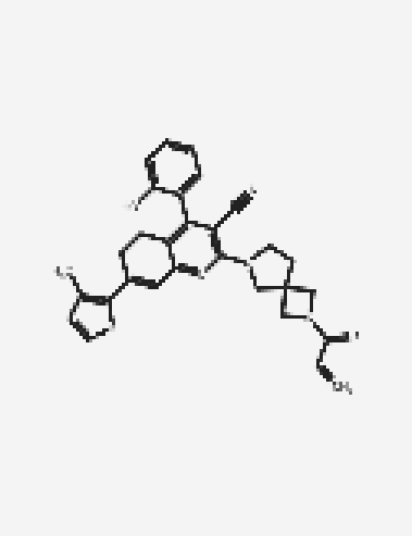 C=CC(=O)N1CC2(CCN(c3nc4c(c(-c5ccccc5O)c3C#N)CCC(c3scnc3C)=C4)C2)C1